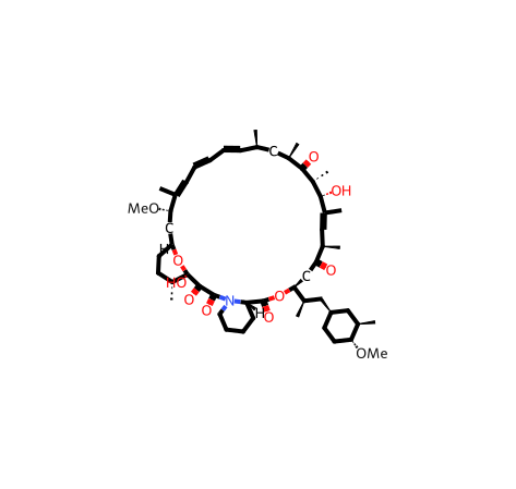 CO[C@H]1C[C@@H]2CC[C@@H](C)[C@@](O)(O2)C(=O)C(=O)N2CCCC[C@H]2C(=O)O[C@H]([C@H](C)C[C@@H]2CC[C@@H](OC)[C@H](C)C2)CC(=O)[C@H](C)/C=C(\C)[C@@H](O)[C@@H](C)C(=O)[C@H](C)C[C@H](C)/C=C/C=C/C=C/1C